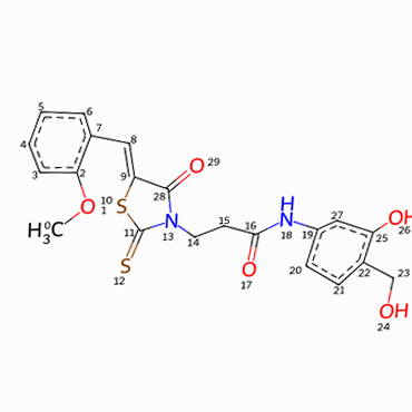 COc1ccccc1/C=C1\SC(=S)N(CCC(=O)Nc2ccc(CO)c(O)c2)C1=O